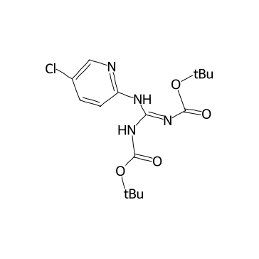 CC(C)(C)OC(=O)N=C(NC(=O)OC(C)(C)C)Nc1ccc(Cl)cn1